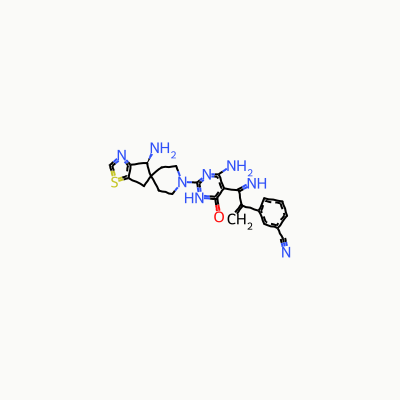 C=C(C(=N)c1c(N)nc(N2CCC3(CC2)Cc2scnc2[C@H]3N)[nH]c1=O)c1cccc(C#N)c1